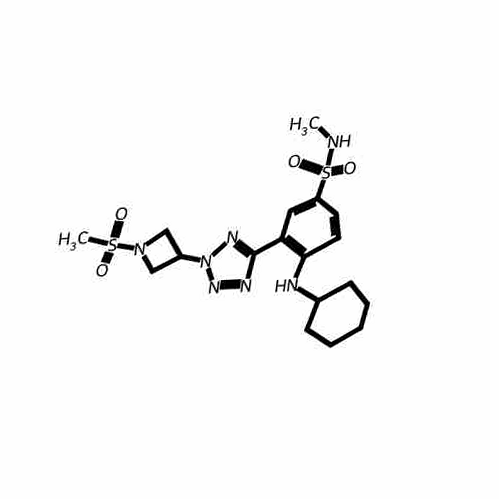 CNS(=O)(=O)c1ccc(NC2CCCCC2)c(-c2nnn(C3CN(S(C)(=O)=O)C3)n2)c1